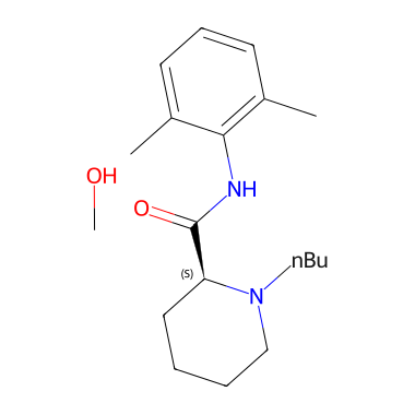 CCCCN1CCCC[C@H]1C(=O)Nc1c(C)cccc1C.CO